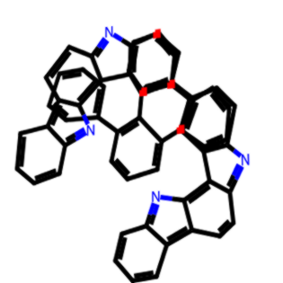 c1ccc(-c2cccc(-c3c(-c4ccccc4)ccc4c3-c3c5c(ccc3=N4)=c3ccccc3=N5)c2-c2c(-c3ccccc3)ccc3c2-c2c4c(ccc2=N3)=c2ccccc2=N4)cc1